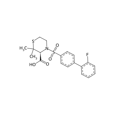 CC1(C)SCCN(S(=O)(=O)c2ccc(-c3ccccc3F)cc2)[C@H]1C(=O)O